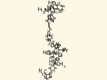 Cc1ncsc1-c1ccc([C@H](C)NC(=O)[C@@H]2C[C@@H](O)CN2C(=O)C(c2cc(OCCN3CCN(CCC#CCn4cc(-c5cc(-c6ccccc6O)nnc5N)cn4)CC3)no2)C(C)C)cc1